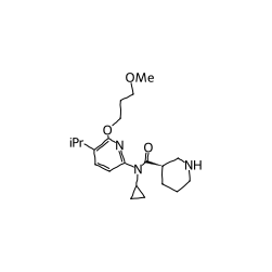 COCCCOc1nc(N(C(=O)[C@@H]2CCCNC2)C2CC2)ccc1C(C)C